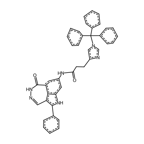 O=C(CCc1cn(C(c2ccccc2)(c2ccccc2)c2ccccc2)cn1)Nc1cc2c3c(c(-c4ccccc4)[nH]c3c1)C=NNC2=O